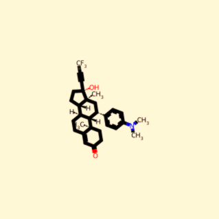 CN(C)c1ccc([C@H]2C[C@@]3(C)[C@@H](CC[C@@]3(O)C#CC(F)(F)F)[C@@H]3CCC4=CC(=O)CC[C@]4(C)[C@H]32)cc1